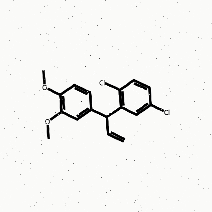 C=CC(c1ccc(OC)c(OC)c1)c1cc(Cl)ccc1Cl